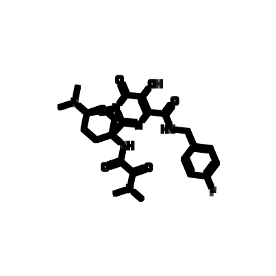 CN(C)C(=O)C(=O)NC12CCC(N(C)C)(CC1)Cn1c2nc(C(=O)NCc2ccc(F)cc2)c(O)c1=O